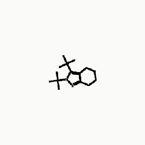 CC(C)(C)c1c2c(nn1C(C)(C)C)CCCC2